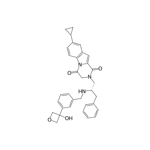 O=C1c2cc3cc(C4CC4)ccc3n2C(=O)CN1C[C@H](Cc1ccccc1)NCc1cccc(C2(O)COC2)c1